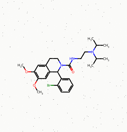 COc1cc2c(cc1OC)C(c1ccccc1Br)N(C(=O)NCCN(C(C)C)C(C)C)CC2